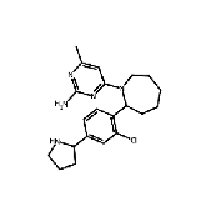 Cc1cc(N2CCCCCC2c2ccc(C3CCCN3)cc2Cl)nc(N)n1